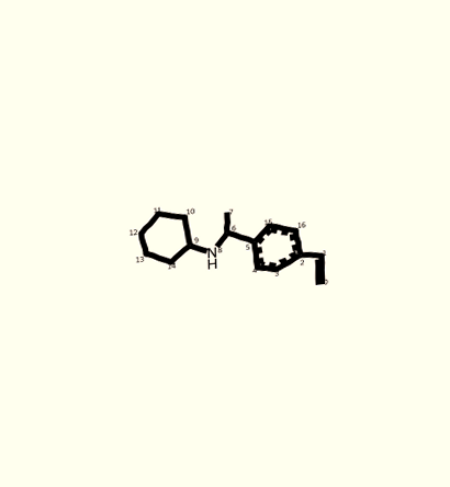 C=Cc1ccc(C(C)NC2CCCCC2)cc1